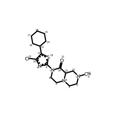 N#CN1CCN2CCN(c3nc(Cl)c(C4CCCCC4)s3)C(=O)C2C1